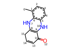 Cc1cccc2c1NC1=C(N2)C(=O)C=CC1